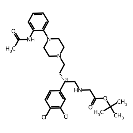 CC(=O)Nc1ccccc1N1CCN(CC[C@H](CNCC(=O)OC(C)(C)C)c2ccc(Cl)c(Cl)c2)CC1